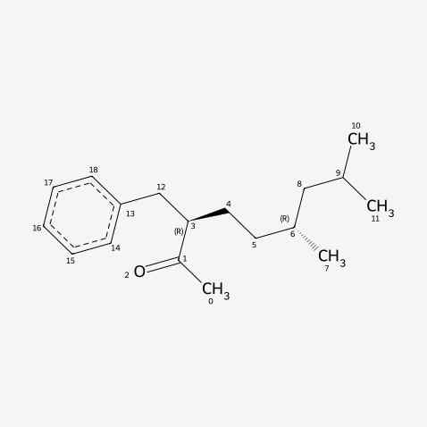 CC(=O)[C@H](CC[C@@H](C)CC(C)C)Cc1ccccc1